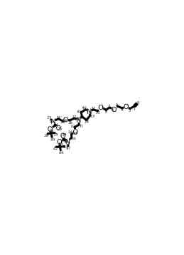 C#CCOCCOCCOCCN1CCC(N(CCOCCN(C)C(=O)OC(C)(C)C)CCOCCN(C)C(=O)OC(C)(C)C)CC1